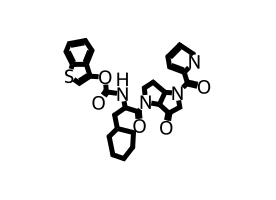 O=C(NC(CC1CCCCC1)C(=O)N1CCC2C1C(=O)CN2C(=O)c1ccccn1)Oc1csc2ccccc12